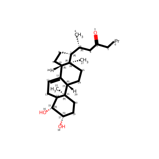 CC(C)CC(=O)C[C@@H](C)[C@H]1CC[C@H]2C3=CCC4[C@@H](O)[C@@H](O)CC[C@]4(C)[C@H]3CC[C@]12C